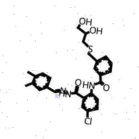 Cc1ccc(/C=N/NC(=O)c2cc(Cl)ccc2NC(=O)c2cccc(CSCC(O)CO)c2)cc1C